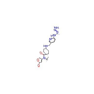 C[C@H]1C[C@]2(CC[C@H](NCc3ccc(N/C=N\N=N)nc3)CC2)C(=O)N1C1=CC(=O)OC1